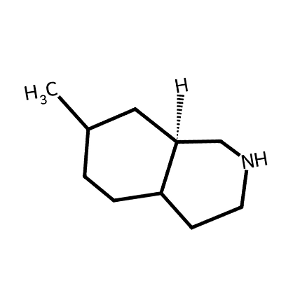 CC1CCC2CCNC[C@@H]2C1